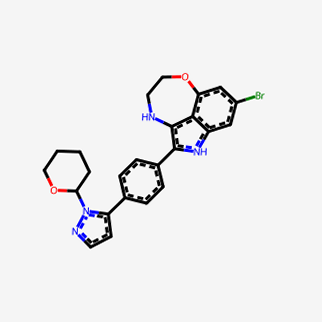 Brc1cc2c3c(c(-c4ccc(-c5ccnn5C5CCCCO5)cc4)[nH]c3c1)NCCO2